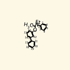 CCN(c1ccccc1)C(C)Oc1cccc(-c2ccccc2)c1